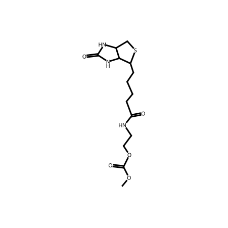 COC(=O)OCCNC(=O)CCCCC1SCC2NC(=O)NC21